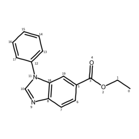 CCOC(=O)c1ccc2ncn(-c3ccccc3)c2c1